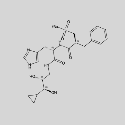 CC(C)(C)S(=O)(=O)C[C@@H](Cc1ccccc1)C(=O)N[C@@H](Cc1c[nH]cn1)C(=O)NC[C@@H](O)[C@@H](O)C1CC1